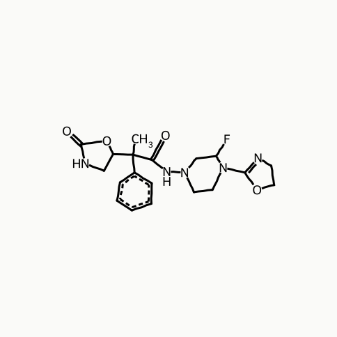 CC(C(=O)NN1CCN(C2=NCCO2)C(F)C1)(c1ccccc1)C1CNC(=O)O1